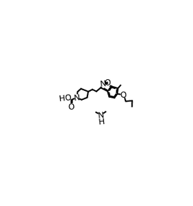 CCCOc1ccc2c(CCC3CCN(C(=O)O)CC3)noc2c1C.CNC